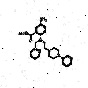 COC(=O)c1cc(N)ccc1N(CCN1CCN(c2ccccc2)CC1)Cc1ccccn1